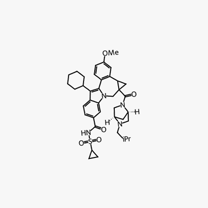 COc1ccc2c(c1)C1CC1(C(=O)N1C[C@H]3C[C@@H]1CN3CC(C)C)Cn1c-2c(C2CCCCC2)c2ccc(C(=O)NS(=O)(=O)C3CC3)cc21